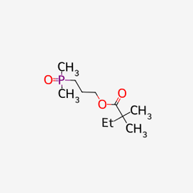 CCC(C)(C)C(=O)OCCCP(C)(C)=O